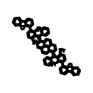 CC(C)c1ccc(-c2cccc3c2oc2ccccc23)c(C(C)C)c1N(c1ccccc1)c1ccc2ccc3c(N(c4ccccc4)c4c(C(C)C)ccc(-c5cccc6c5oc5ccccc56)c4C(C)C)ccc4ccc1c2c43